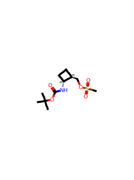 CC(C)(C)OC(=O)N[C@@H]1CC[C@H]1COS(C)(=O)=O